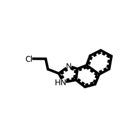 ClCCc1nc2c(ccc3ccccc32)[nH]1